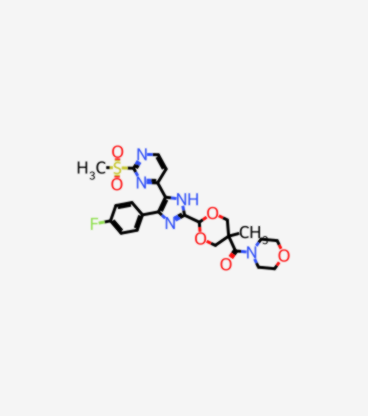 CC1(C(=O)N2CCOCC2)COC(c2nc(-c3ccc(F)cc3)c(-c3ccnc(S(C)(=O)=O)n3)[nH]2)OC1